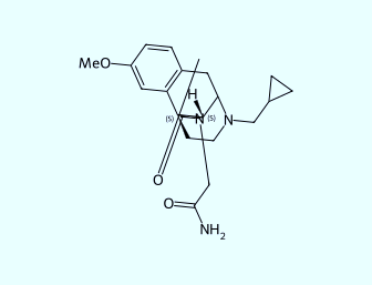 COc1ccc2c(c1)[C@]13CCN(CC4CC4)C(C2)[C@@H]1CN(CC(N)=O)C(=O)C3